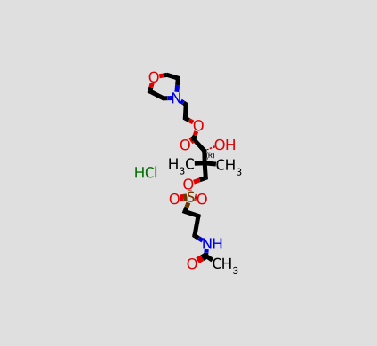 CC(=O)NCCCS(=O)(=O)OCC(C)(C)[C@@H](O)C(=O)OCCN1CCOCC1.Cl